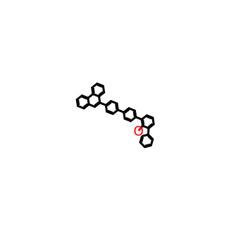 c1ccc2c(c1)cc(-c1ccc(-c3ccc(-c4cccc5c4oc4ccccc45)cc3)cc1)c1ccccc12